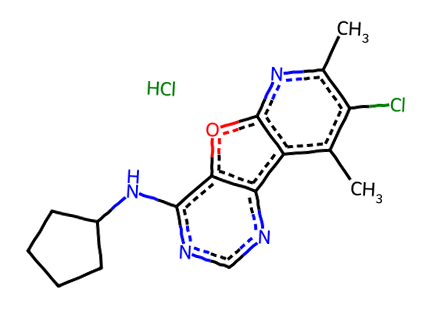 Cc1nc2oc3c(NC4CCCC4)ncnc3c2c(C)c1Cl.Cl